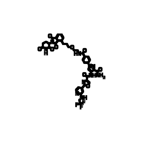 NC(=O)c1nn(-c2ccc(C(=O)NCCOCCCc3cccc4c3C(=O)N(C3CCC(=O)NC3=O)C4=O)cc2)cc1NC(=O)c1coc(-c2ccnc(NCC(F)(F)F)c2)n1